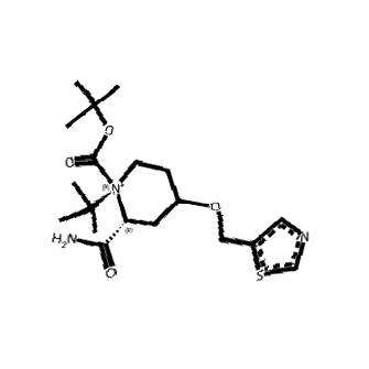 CC(C)(C)OC(=O)[N@+]1(C(C)(C)C)CCC(OCc2cncs2)C[C@@H]1C(N)=O